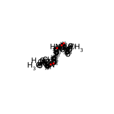 COC(=O)N[C@H](C(=O)N1CCC[C@H]1c1nc2ccc3cc(-c4ccc5c(ccc6[nH]c([C@@H]7CCCN7C(=O)[C@H](NC(=O)OC)C7CCOCC7)nc65)c4)ccc3c2[nH]1)C(C)C